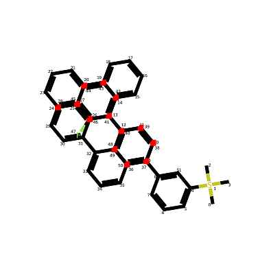 CS(C)(C)c1cccc(-c2ccc(N(c3ccccc3-c3ccccc3)c3ccccc3-c3cccc4cccc(-c5ccccc5F)c34)cc2)c1